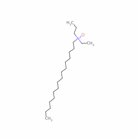 CCCCCCCCCCCCCCCC[N+]([O-])(CC)CCC